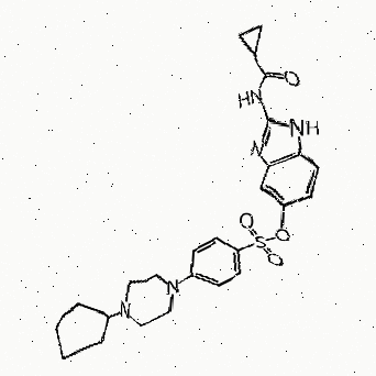 O=C(Nc1nc2cc(OS(=O)(=O)c3ccc(N4CCN(C5CCCC5)CC4)cc3)ccc2[nH]1)C1CC1